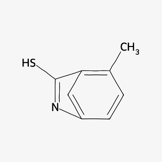 Cc1ccc2cc1C(S)=N2